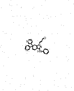 O=CC=Cn1nc(Nc2ccccc2)c2c1CC(c1cccnc1)(c1cccnc1)C=C2